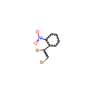 O=[N+]([O-])c1ccccc1/C(Br)=C/Br